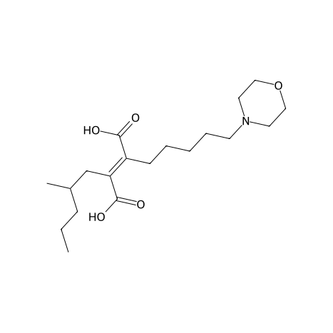 CCCC(C)CC(C(=O)O)=C(CCCCCN1CCOCC1)C(=O)O